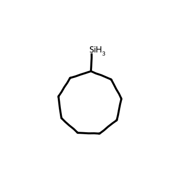 [SiH3]C1CCCCCCCC1